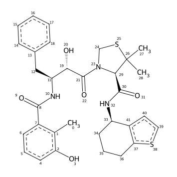 Cc1c(O)cccc1C(=O)N[C@@H](Cc1ccccc1)[C@H](O)C(=O)N1CSC(C)(C)[C@H]1C(=O)N[C@@H]1CCCc2sccc21